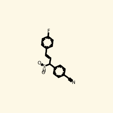 N#Cc1ccc(C(C=Cc2ccc(F)cc2)[SH](=O)=O)cc1